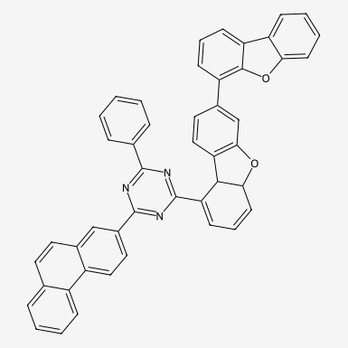 C1=CC2Oc3cc(-c4cccc5c4oc4ccccc45)ccc3C2C(c2nc(-c3ccccc3)nc(-c3ccc4c(ccc5ccccc54)c3)n2)=C1